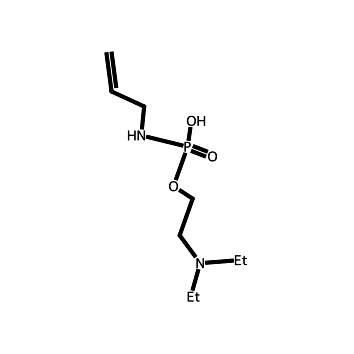 C=CCNP(=O)(O)OCCN(CC)CC